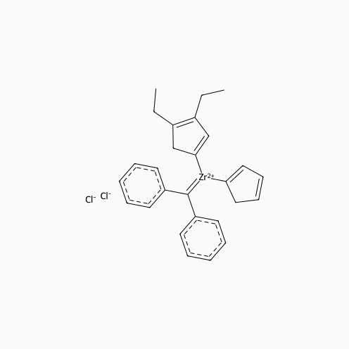 CCC1=C(CC)C[C]([Zr+2]([C]2=CC=CC2)=[C](c2ccccc2)c2ccccc2)=C1.[Cl-].[Cl-]